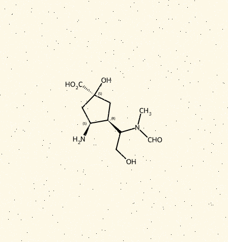 CN(C=O)C(CO)[C@@H]1C[C@@](O)(C(=O)O)C[C@@H]1N